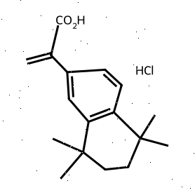 C=C(C(=O)O)c1ccc2c(c1)C(C)(C)CCC2(C)C.Cl